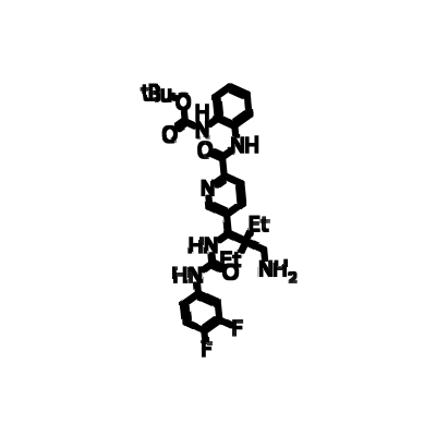 CCC(CC)(CN)C(NC(=O)Nc1ccc(F)c(F)c1)c1ccc(C(=O)Nc2ccccc2NC(=O)OC(C)(C)C)nc1